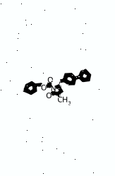 C[C@@H]1C[C@@H](Cc2ccc(-c3ccccc3)cc2)N(C(=O)OCc2ccccc2)C1=O